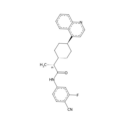 C[C@@H](C(=O)Nc1ccc(C#N)c(F)c1)[C@H]1CC[C@H](c2ccnc3ccccc32)CC1